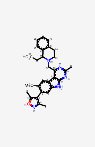 COc1cc2c(cc1-c1c(C)noc1C)[nH]c1nc(C)nc(CN3CCc4ccccc4C3CC(=O)O)c12